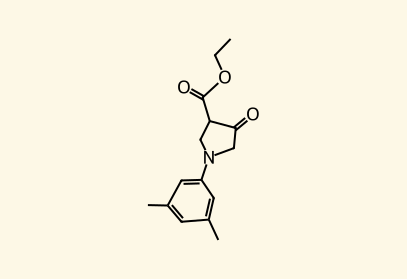 CCOC(=O)C1CN(c2cc(C)cc(C)c2)CC1=O